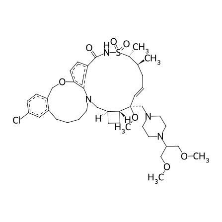 COCC(COC)N1CCN(C[C@@]2(OC)/C=C/C[C@H](C)[C@@H](C)S(=O)(=O)NC(=O)c3ccc4c(c3)N(CCCCc3cc(Cl)ccc3CO4)C[C@@H]3CC[C@H]32)CC1